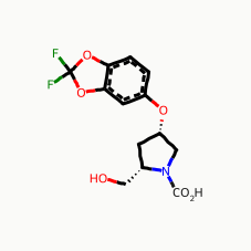 O=C(O)N1C[C@@H](Oc2ccc3c(c2)OC(F)(F)O3)C[C@H]1CO